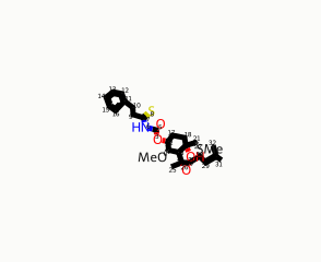 COC1C(OC(=O)NC(=S)CCc2ccccc2)CCC(O)(CSC)C1C1(C)OC1CC=C(C)C